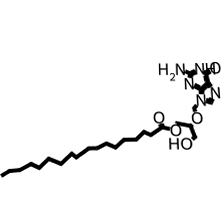 CCCCCCCCCCCCCCCCCC(=O)OCC(CO)OCn1cnc2c(=O)[nH]c(N)nc21